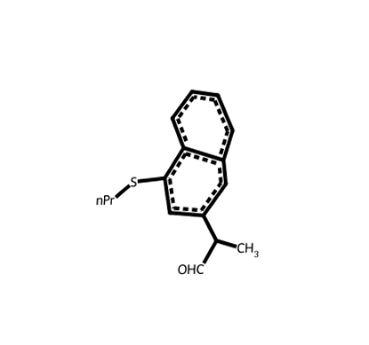 CCCSc1cc(C(C)C=O)cc2ccccc12